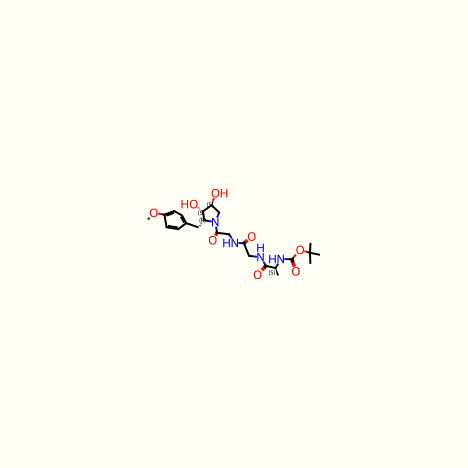 COc1ccc(C[C@@H]2[C@H](O)[C@@H](O)CN2C(=O)CNC(=O)CNC(=O)[C@H](C)NC(=O)OC(C)(C)C)cc1